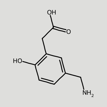 NCc1ccc(O)c(CC(=O)O)c1